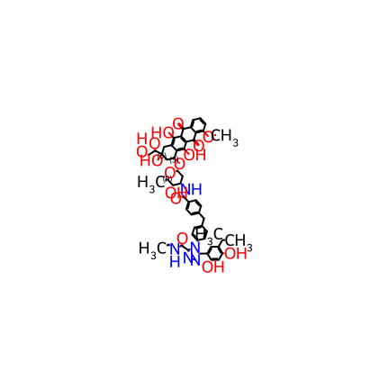 CCNC(=O)c1nnc(-c2cc(C(C)C)c(O)cc2O)n1-c1ccc(Cc2ccc(C(=O)NC3CC(O[C@H]4C[C@](O)(C(=O)CO)Cc5c(O)c6c(c(O)c54)C(=O)c4c(OC)cccc4C6=O)O[C@H](C)C3O)cc2)cc1